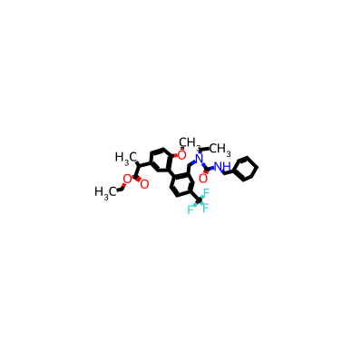 CCOC(=O)C(C)c1ccc(OC)c(-c2ccc(C(F)(F)F)cc2CN(CC)C(=O)NCC2=CCCC=C2)c1